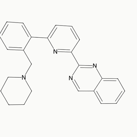 c1cc(-c2ncc3ccccc3n2)nc(-c2ccccc2CN2CCCCC2)c1